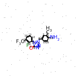 Cc1cc(Cn2nnc(=O)n2-c2cccc(C(F)(F)F)c2F)ccc1N